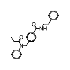 CCC(=O)N(Cc1ccc(C(=O)NCCc2ccccc2)cc1)c1ccccc1